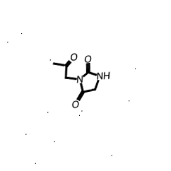 CC(=O)CN1C(=O)CNC1=O